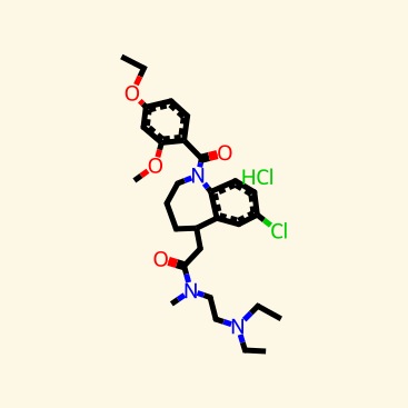 CCOc1ccc(C(=O)N2CCCC(CC(=O)N(C)CCN(CC)CC)c3cc(Cl)ccc32)c(OC)c1.Cl